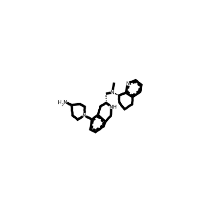 CN(C[C@H]1Cc2c(cccc2N2CCC(N)CC2)CN1)[C@H]1CCCc2cccnc21